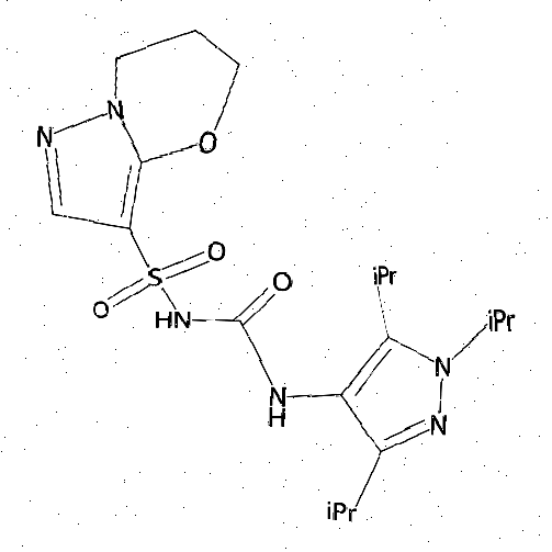 CC(C)c1nn(C(C)C)c(C(C)C)c1NC(=O)NS(=O)(=O)c1cnn2c1OCCC2